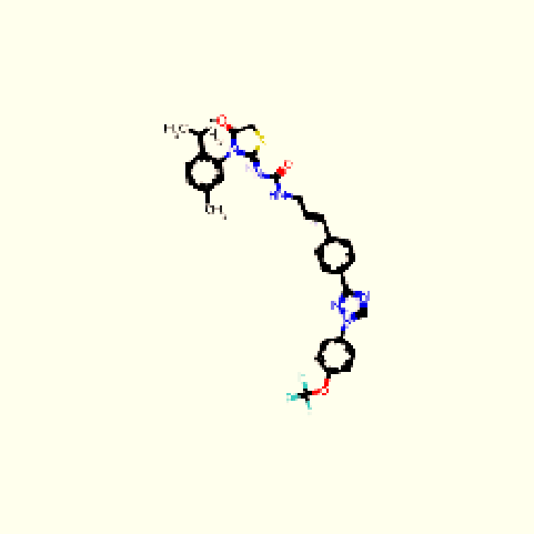 Cc1ccc(C(C)C)c(N2C(=O)CS/C2=N\C(=O)NC/C=C/c2ccc(-c3ncn(-c4ccc(OC(F)(F)F)cc4)n3)cc2)c1